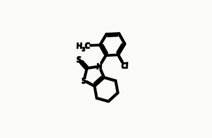 Cc1cccc(Cl)c1-n1c2c(sc1=S)CCCC2